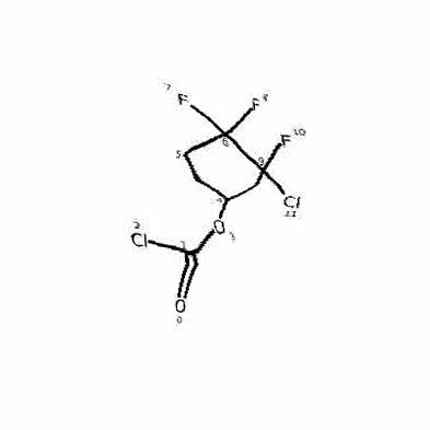 O=C(Cl)OC1CC(F)(F)C1(F)Cl